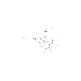 CCCCCCCC(=O)OC(C)[N+](C)(C)C(C)OC(=O)CCCCCCC.O=C([O-])[C@H](O)[C@@H](O)[C@H](O)[C@H](O)CO